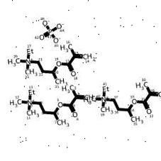 C=C(C)C(=O)OC(C)CC[N+](C)(C)CC.C=C(C)C(=O)OC(C)CC[N+](C)(C)CC.C=C(C)C(=O)OC(C)CC[N+](C)(C)CC.O=P([O-])([O-])[O-]